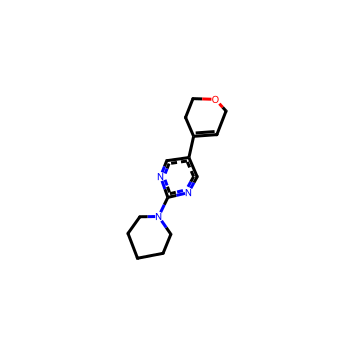 C1=C(c2cnc(N3CCCCC3)nc2)CCOC1